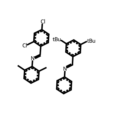 CC(C)(C)c1cc(/C=N/c2ccccc2)cc(C(C)(C)C)c1.Cc1cccc(C)c1/N=C/c1ccc(Cl)cc1Cl